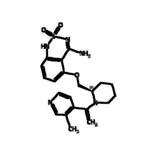 C=C(c1ccncc1C)N1CCCC[C@@H]1COc1cccc2c1C(N)=NS(=O)(=O)N2